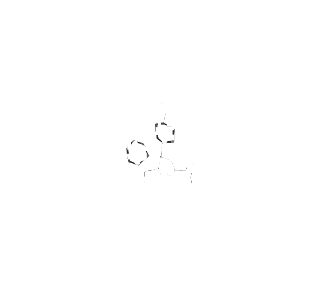 CCC(=O)C(CC(C)N(C)C)(c1ccccc1)c1ccc(OC)cc1